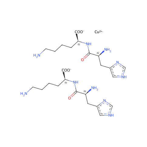 NCCCC[C@H](NC(=O)[C@@H](N)Cc1c[nH]cn1)C(=O)[O-].NCCCC[C@H](NC(=O)[C@@H](N)Cc1c[nH]cn1)C(=O)[O-].[Cu+2]